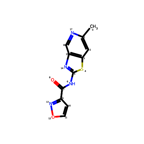 Cc1cc2sc(NC(=O)c3ccon3)nc2cn1